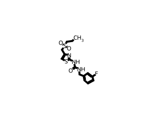 CCCS(=O)(=O)Cc1csc(NC(=O)NCc2cccc(F)c2)n1